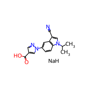 CC(C)n1cc(C#N)c2cc(-n3cc(C(=O)O)cn3)ccc21.[NaH]